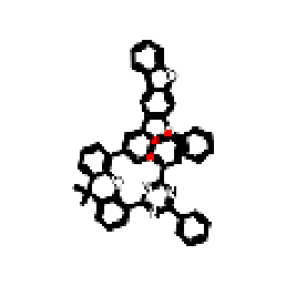 CC1(C)c2cccc(-c3ccc4c(c3)c3cc5c(cc3n4-c3ccccc3)oc3ccccc35)c2Oc2c(-c3nc(-c4ccccc4)nc(-c4ccccc4)n3)cccc21